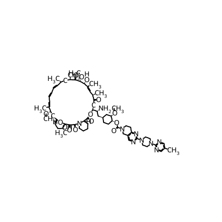 CO[C@H]1C[C@@H]2CC[C@@H](C)[C@@](O)(O2)C(=O)C(=O)N2CCCC[C@H]2C(=O)O[C@H]([C@H](N)C[C@@H]2CC[C@@H](OC(=O)N3CCc4nc(N5CCN(c6ncc(C)cn6)CC5)ncc4C3)[C@H](OC)C2)CC(=O)[C@H](C)/C=C(\C)[C@@H](O)[C@@H](OC)C(=O)[C@H](C)C[C@H](C)/C=C/C=C/C=C/1C